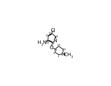 CN1CCC(Oc2ncc(Cl)cc2N)CC1